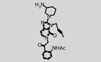 CC#CCn1c(N2CCCC(N)C2)nc2ccn(CC(=O)c3ccccc3NC(C)=O)c(=O)c21